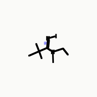 CCN(C)/C(=N\I)C(C)(C)C